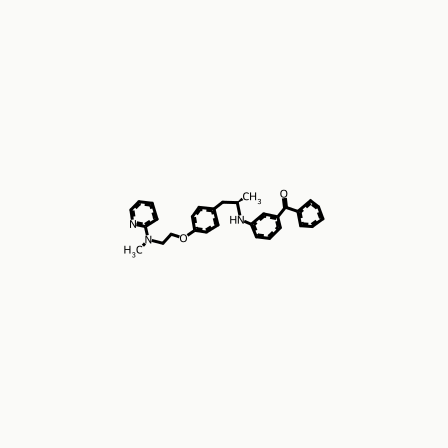 C[C@H](Cc1ccc(OCCN(C)c2ccccn2)cc1)Nc1cccc(C(=O)c2ccccc2)c1